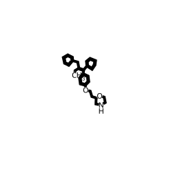 CCC(Cc1ccccc1)=C(c1ccccc1)c1ccc(OCCC2CNCCO2)cc1